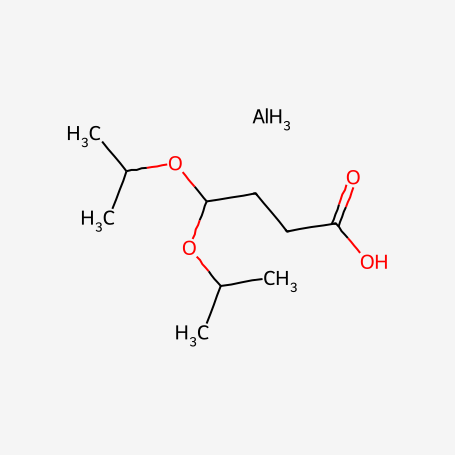 CC(C)OC(CCC(=O)O)OC(C)C.[AlH3]